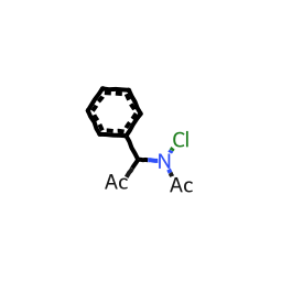 CC(=O)C(c1ccccc1)N(Cl)C(C)=O